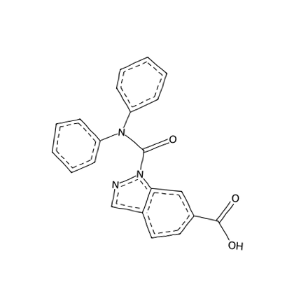 O=C(O)c1ccc2cnn(C(=O)N(c3ccccc3)c3ccccc3)c2c1